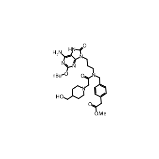 CCCCOc1nc(N)c2[nH]c(=O)n(CCCN(Cc3ccc(CC(=O)OC)cc3)C(=O)CN3CCC(CO)CC3)c2n1